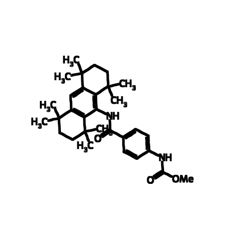 COC(=O)Nc1ccc(C(=O)Nc2c3c(cc4c2C(C)(C)CCC4(C)C)C(C)(C)CCC3(C)C)cc1